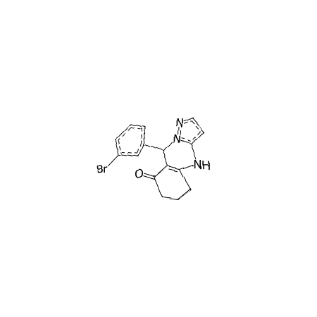 O=C1CCCC2=C1C(c1cccc(Br)c1)n1nccc1N2